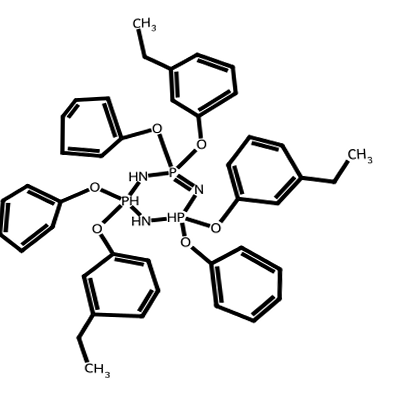 CCc1cccc(OP2(Oc3ccccc3)=N[PH](Oc3ccccc3)(Oc3cccc(CC)c3)N[PH](Oc3ccccc3)(Oc3cccc(CC)c3)N2)c1